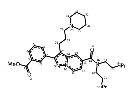 COC(=O)c1cccc(-c2nn3ccc(C(=O)N(CCC(C)C)CCC(C)C)cc3c2CCCN2CCCCC2)c1